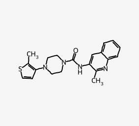 Cc1nc2ccccc2cc1NC(=O)N1CCN(c2ccsc2C)CC1